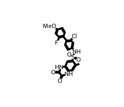 COc1ccc(-c2ccc(NS(=O)(=O)c3cc4[nH]c(=O)c(=O)[nH]c4cc3C)cc2Cl)c(F)c1